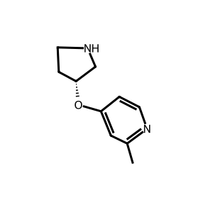 Cc1cc(O[C@@H]2CCNC2)ccn1